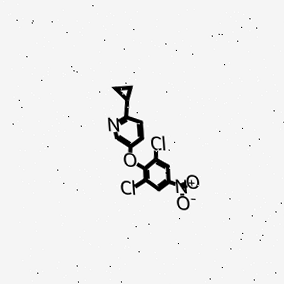 O=[N+]([O-])c1cc(Cl)c(Oc2ccc(C3CC3)nc2)c(Cl)c1